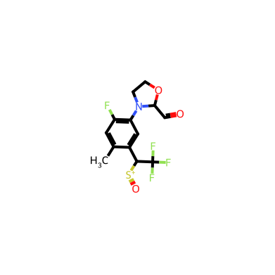 Cc1cc(F)c(N2CCOC2C=O)cc1C([S+]=O)C(F)(F)F